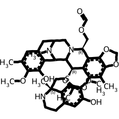 COc1cc2c(cc1O)CCN[C@]2(C)CS[C@@H]1c2c(OC(C)=O)c(C)c3c(c2[C@H](COC=O)N2CC4Cc5cc(C)c(OC)c(O)c5C(C12)N4C)OCO3